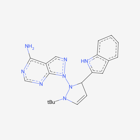 CC(C)(C)N1C=CC(c2cc3ccccc3[nH]2)N1n1ncc2c(N)ncnc21